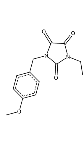 CCN1C(=O)C(=O)N(Cc2ccc(OC)cc2)C1=O